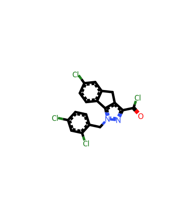 O=C(Cl)c1nn(Cc2ccc(Cl)cc2Cl)c2c1Cc1cc(Cl)ccc1-2